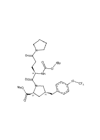 COC(=O)[C@@H]1C[C@H](Cc2ccc(OC(F)(F)F)cc2)CN1C(=O)[C@@H](CCC(=O)N1CCCC1)NC(=O)OC(C)(C)C